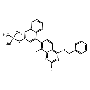 CC(C)(C)[Si](C)(C)Oc1cc(-c2ccc3c(OCc4ccccc4)nc(Cl)nc3c2F)c2ccccc2c1